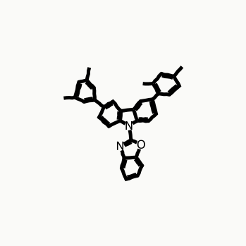 Cc1cc(C)cc(-c2ccc3c(c2)c2cc(-c4ccc(C)cc4C)ccc2n3-c2nc3ccccc3o2)c1